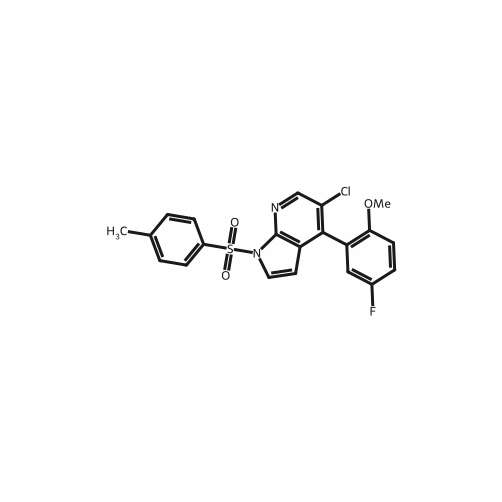 COc1ccc(F)cc1-c1c(Cl)cnc2c1ccn2S(=O)(=O)c1ccc(C)cc1